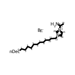 CCCCCCCCCCCCCCCCCCCCCCn1cc[n+](C(C)N)c1.[Br-]